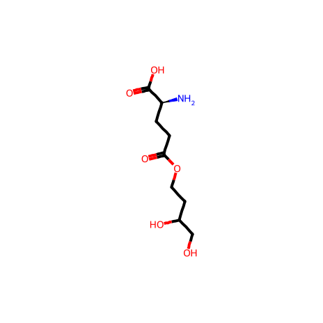 N[C@@H](CCC(=O)OCCC(O)CO)C(=O)O